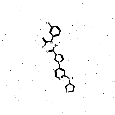 C=C(O)[C@@H](NC(=O)C1C=CN(c2ccnc(NC3CCOC3)c2)C1)c1cccc(Cl)c1